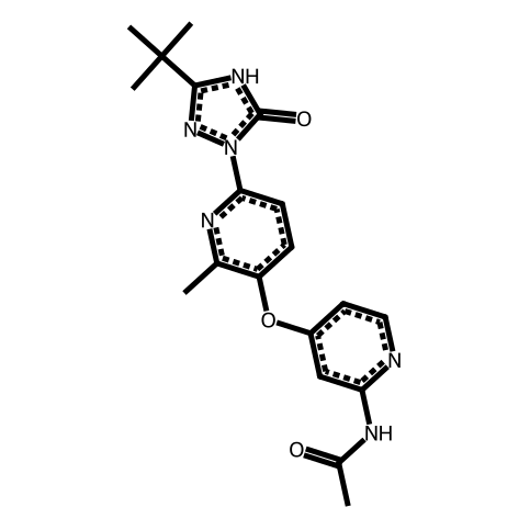 CC(=O)Nc1cc(Oc2ccc(-n3nc(C(C)(C)C)[nH]c3=O)nc2C)ccn1